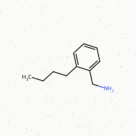 CCCCc1ccccc1CN